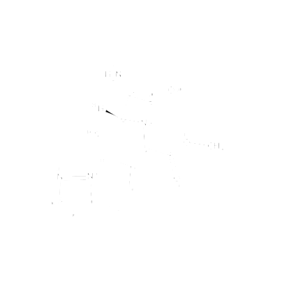 COC(=O)C1=C(/C=C\c2csnn2)CS[C@@H]2C(N)C(=O)N12